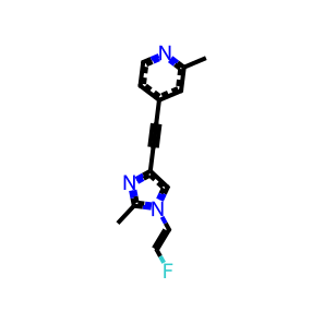 Cc1cc(C#Cc2cn(/C=C/F)c(C)n2)ccn1